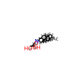 CC(=O)[C@H]1CC[C@H]2[C@@H]3CCC4=C/C(=N/OCC(O)CO)CC[C@]4(C)[C@H]3CC[C@]12C